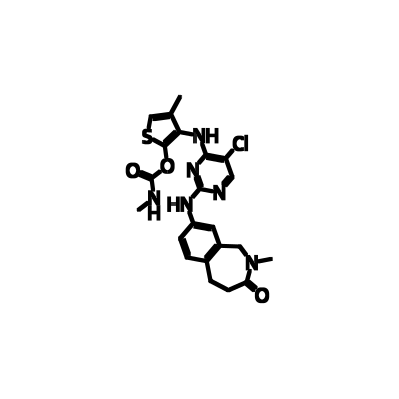 CNC(=O)Oc1scc(C)c1Nc1nc(Nc2ccc3c(c2)CN(C)C(=O)CC3)ncc1Cl